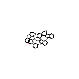 c1ccc([Si](c2ccccc2)(c2nccc3c2-c2ccccc2C3)n2c3ccccc3n3c4cccc(-n5c6ccccc6c6ncccc65)c4nc23)cc1